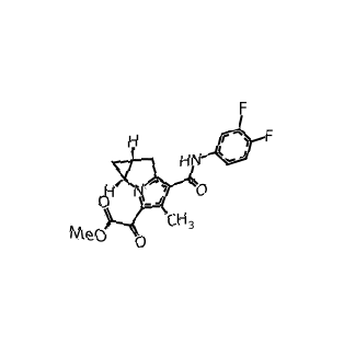 COC(=O)C(=O)c1c(C)c(C(=O)Nc2ccc(F)c(F)c2)c2n1[C@@H]1C[C@@H]1C2